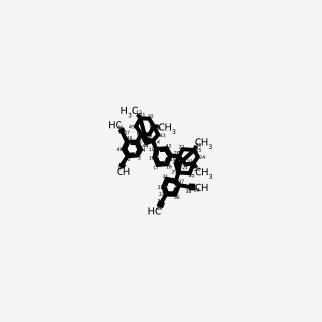 C#Cc1ccc(C23CC4(C)CC(C)(CC(c5cccc(C67CC8(C)CC(C)(C6)CC(c6ccc(C#C)cc6C#C)(C8)C7)c5)(C4)C2)C3)c(C#C)c1